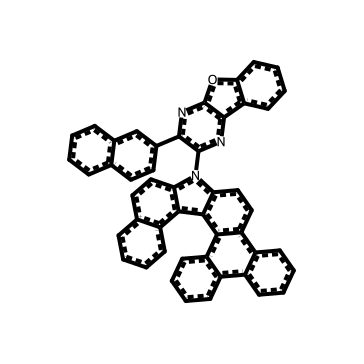 c1ccc2cc(-c3nc4oc5ccccc5c4nc3-n3c4ccc5ccccc5c4c4c5c6ccccc6c6ccccc6c5ccc43)ccc2c1